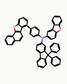 c1ccc(C2(c3ccccc3)c3ccccc3-c3ccc(N(c4ccc(-c5cccc6oc7c8ccccc8ccc7c56)cc4)c4ccc5oc6ccccc6c5c4)cc32)cc1